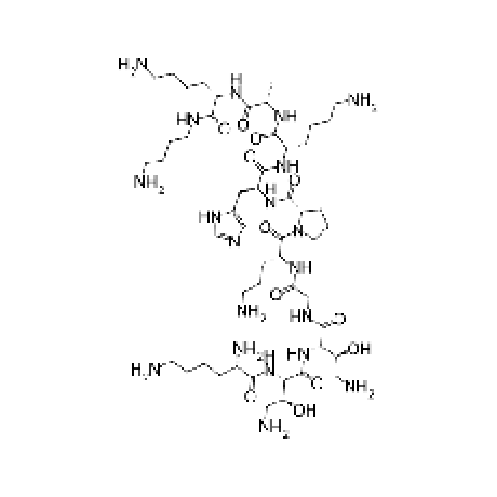 C[C@H](NC(=O)[C@H](CCCCN)NC(=O)[C@H](Cc1cnc[nH]1)NC(=O)[C@@H]1CCCN1C(=O)[C@@H](CCCN)NC(=O)CNC(=O)[C@@H](NC(=O)[C@@H](NC(=O)[C@@H](N)CCCCN)[C@@H](O)CN)[C@@H](O)CN)C(=O)N[C@@H](CCCCN)C(=O)NCCCCN